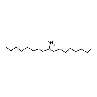 CCCCCCCCC(P)CCCCCCCC